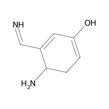 N=CC1=CC(O)=CCC1N